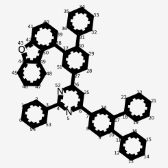 c1ccc(-c2nc(-c3ccc(-c4ccccc4)c(-c4ccccc4)c3)cc(-c3ccc(-c4ccccc4)c(-c4cccc5oc6ccccc6c45)c3)n2)cc1